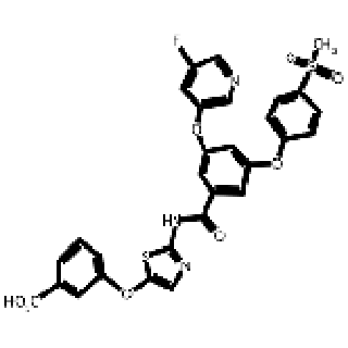 CS(=O)(=O)c1ccc(Oc2cc(Oc3cncc(F)c3)cc(C(=O)Nc3ncc(Oc4cccc(C(=O)O)c4)s3)c2)cc1